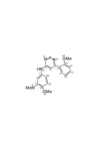 CNc1cc(Nc2cc(-c3ccccc3OC)ncn2)ccc1OC